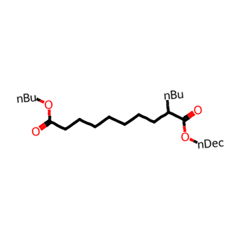 CCCCCCCCCCOC(=O)C(CCCC)CCCCCCCC(=O)OCCCC